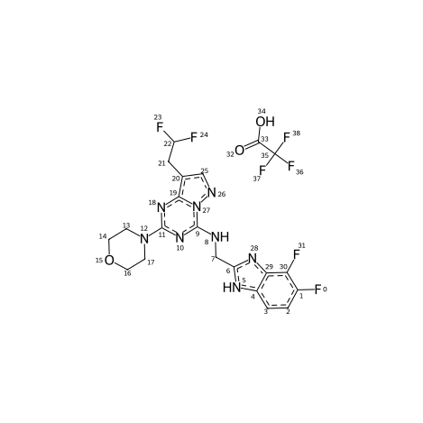 Fc1ccc2[nH]c(CNc3nc(N4CCOCC4)nc4c(CC(F)F)cnn34)nc2c1F.O=C(O)C(F)(F)F